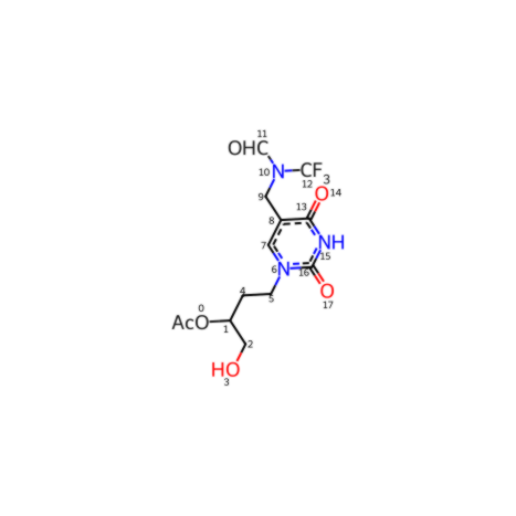 CC(=O)OC(CO)CCn1cc(CN(C=O)C(F)(F)F)c(=O)[nH]c1=O